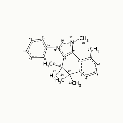 Cc1cccc2c1-c1c(n(-c3ccccc3)c[n+]1C)C(C)(C)C2(C)C